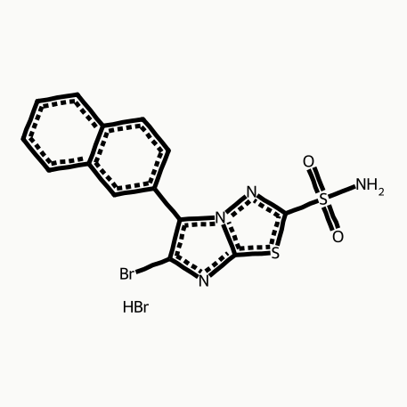 Br.NS(=O)(=O)c1nn2c(-c3ccc4ccccc4c3)c(Br)nc2s1